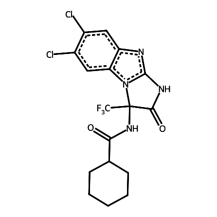 O=C(NC1(C(F)(F)F)C(=O)Nc2nc3cc(Cl)c(Cl)cc3n21)C1CCCCC1